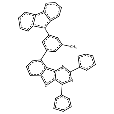 Cc1cc(-c2cccc3oc4c(-c5ccccc5)nc(-c5ccccc5)nc4c23)cc(-n2c3ccccc3c3ccccc32)c1